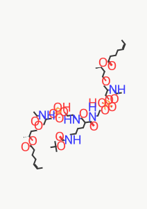 C/C=C\CCCC(=O)O[C@H](C)CCOCC(COP(=O)(O)OCCNC(=O)C(CCCCNC(=O)OC(C)(C)C)C(=O)NCCOP(=O)(O)OCC(COCC[C@@H](C)OC(=O)CCC/C=C\C)NC(C)=O)NC(C)=O